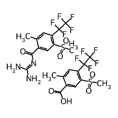 Cc1cc(C(F)(F)C(F)(F)F)c(S(C)(=O)=O)cc1C(=O)N=C(N)N.Cc1cc(C(F)(F)C(F)(F)F)c(S(C)(=O)=O)cc1C(=O)O